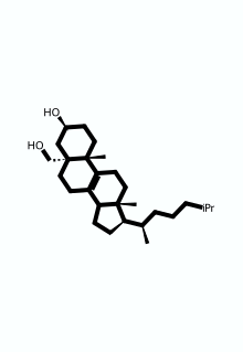 CC(C)CCC[C@@H](C)[C@H]1CCC2C3=C(CC[C@@]21C)[C@@]1(C)CC[C@H](O)C[C@]1(CO)CC3